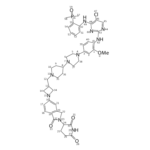 COc1cc(N2CCN(C3CCN(CC4CN(c5ccc6c(c5)CN(C5CCC(=O)NC5=O)C6=O)C4)CC3)CC2)ccc1Nc1ncc(Cl)c(Nc2ccccc2P(C)(C)=O)n1